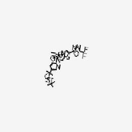 CCS(=O)(=O)N(Cc1ncc(-c2nnc(C(F)F)o2)s1)c1ccc(C(C)(C)O[Si](C)(C)C(C)(C)C)cn1